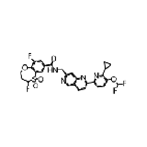 O=C(NCc1cc2nc(-c3ccc(OC(F)F)c(C4CC4)n3)ccc2cn1)c1cc(F)c2c(c1)S(=O)(=O)[C@@H](F)CCO2